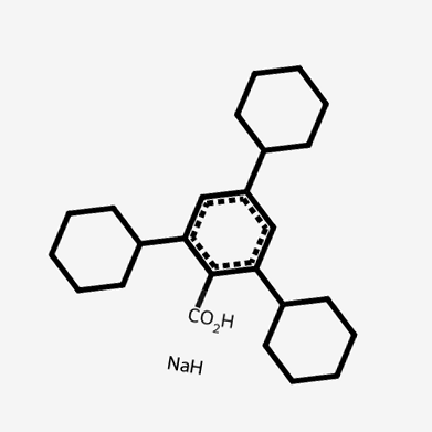 O=C(O)c1c(C2CCCCC2)cc(C2CCCCC2)cc1C1CCCCC1.[NaH]